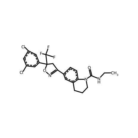 CCNC(=O)N1CCCc2cc(C3=NOC(c4cc(Cl)cc(Cl)c4)(C(F)(F)F)C3)ccc21